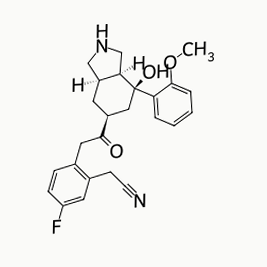 COc1ccccc1[C@]1(O)C[C@@H](C(=O)Cc2ccc(F)cc2CC#N)C[C@H]2CNC[C@H]21